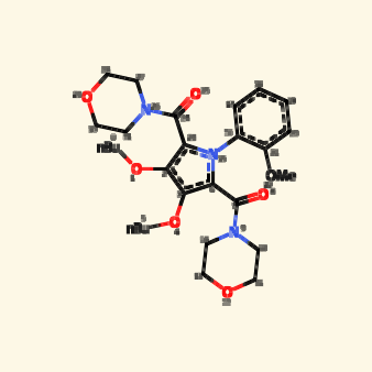 CCCCOc1c(OCCCC)c(C(=O)N2CCOCC2)n(-c2ccccc2OC)c1C(=O)N1CCOCC1